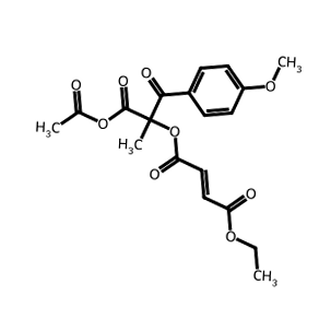 CCOC(=O)C=CC(=O)OC(C)(C(=O)OC(C)=O)C(=O)c1ccc(OC)cc1